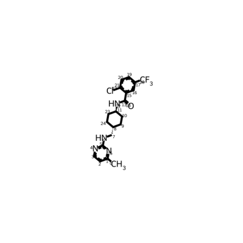 Cc1ccnc(NC[C@H]2CC[C@H](NC(=O)c3cc(C(F)(F)F)ccc3Cl)CC2)n1